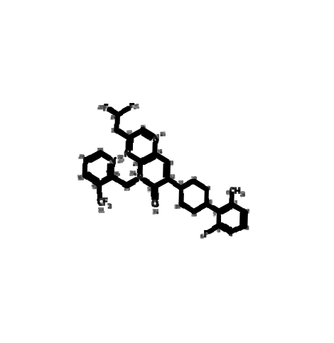 Cc1cccc(F)c1C1CCC(c2cc3ncc(CC(F)F)nc3n(Cc3ncccc3C(F)(F)F)c2=O)CC1